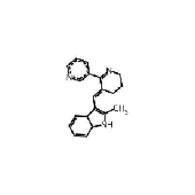 CC1=C(/C=C2\CCCN=C2c2cccnc2)C2C=CC=CC2N1